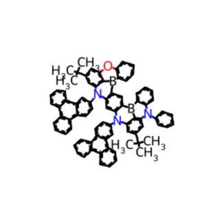 CC(C)(C)c1cc2c3c(c1)N(c1ccc4c5ccccc5c5ccccc5c4c1)c1cc4c(cc1B3c1ccccc1O2)B1c2ccccc2N(c2ccccc2)c2cc(C(C)(C)C)cc(c21)N4c1ccc2c3ccccc3c3ccccc3c2c1